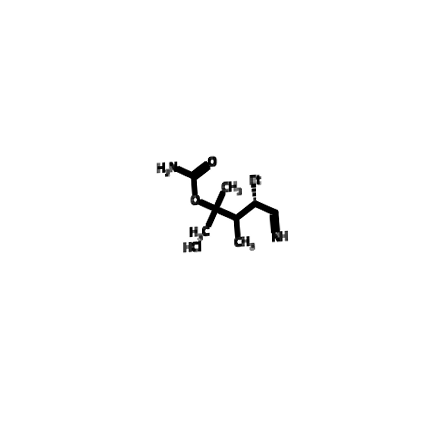 CC[C@H](C=N)C(C)C(C)(C)OC(N)=O.Cl